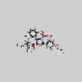 COc1ccc([C@@H]2O[C@@H](C(=O)OC(C)(C)C)[C@H](c3ccccc3)N2C(=O)O)cc1